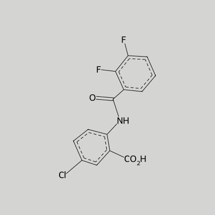 O=C(O)c1cc(Cl)ccc1NC(=O)c1cccc(F)c1F